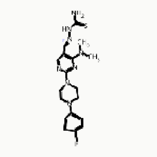 CN(C)c1nc(N2CCN(c3ccc(F)cc3)CC2)ncc1/C=N/NC(N)=S